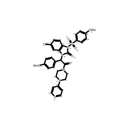 COc1ccc(C(C(=O)N2CCN(c3ccncc3)CC2)n2c(=O)n(S(=O)(=O)c3ccc(OC)cc3)c3ccc(Cl)cc32)cc1